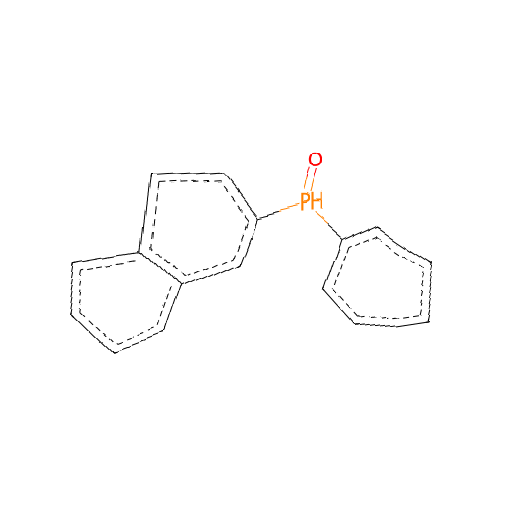 O=[PH](c1ccccc1)c1ccc2ccccc2c1